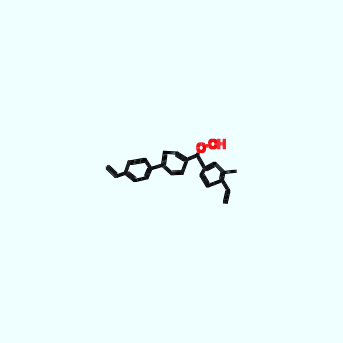 C=Cc1ccc(-c2ccc(C(OO)c3ccc(C=C)c(C)c3)cc2)cc1